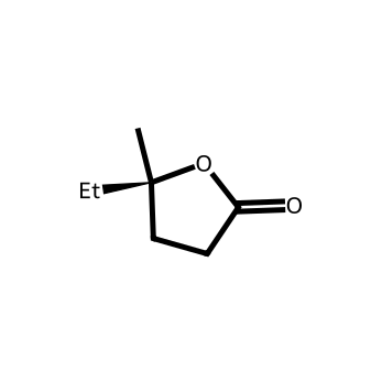 CC[C@]1(C)CCC(=O)O1